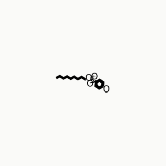 CCCCCCCCCOS(=O)(=O)c1ccc(OC)cc1